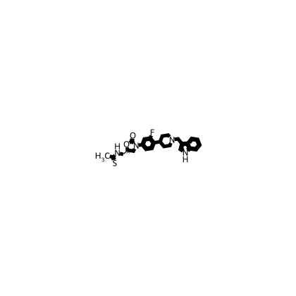 CC(=S)NC[C@H]1CN(c2ccc(C3CCN(Cc4c[nH]c5ccccc45)CC3)c(F)c2)C(=O)O1